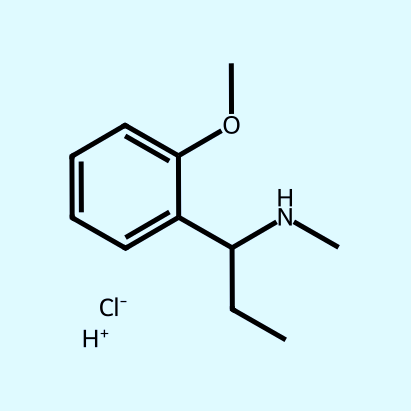 CCC(NC)c1ccccc1OC.[Cl-].[H+]